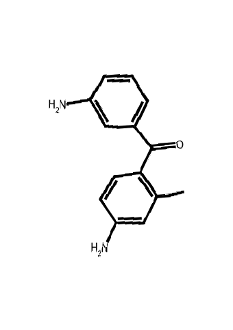 Cc1cc(N)ccc1C(=O)c1cccc(N)c1